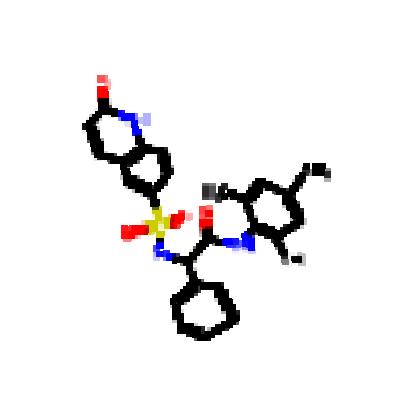 Cc1cc(C)c(NC(=O)C(NS(=O)(=O)c2ccc3[nH]c(=O)ccc3c2)c2ccccc2)c(C)c1